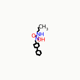 CCCCNC(=O)N(O)Cc1ccc(-c2ccccc2)cc1